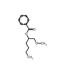 CCCCC(COC)OC(=O)c1ccccc1